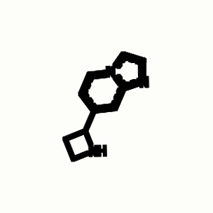 c1cn2ccc(C3CCN3)cc2n1